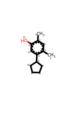 Cc1cc(C)c(C2CCCC2)cc1O